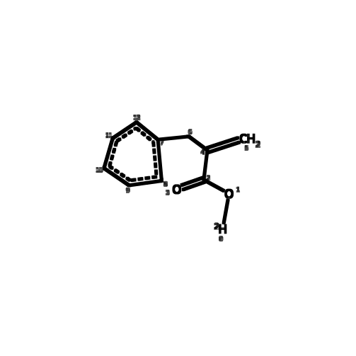 [2H]OC(=O)C(=C)Cc1ccccc1